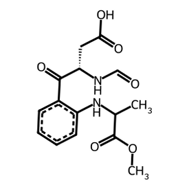 COC(=O)C(C)Nc1ccccc1C(=O)[C@H](CC(=O)O)NC=O